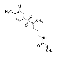 C=CC(=O)NCCCN(C)S(=O)(=O)c1ccc(C)c(Cl)c1